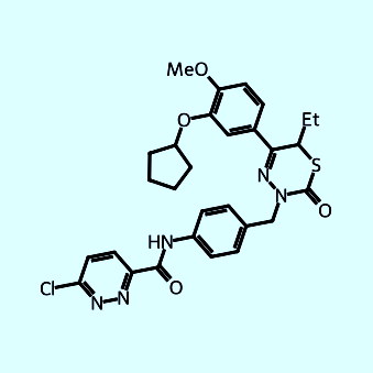 CCC1SC(=O)N(Cc2ccc(NC(=O)c3ccc(Cl)nn3)cc2)N=C1c1ccc(OC)c(OC2CCCC2)c1